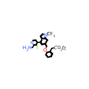 CCOC(=O)Cc1ccccc1OCc1cc(-c2ccnc(CN)c2F)c2ccn(C(F)(F)F)c2c1